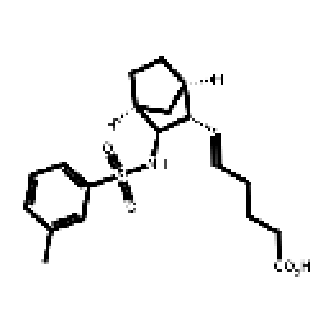 Cc1cccc(S(=O)(=O)N[C@H]2[C@H]3CC[C@H](C3)[C@@H]2C=CCCCC(=O)O)c1